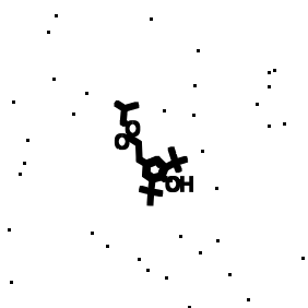 CC(C)COC(=O)CCc1cc(C(C)(C)C)c(O)c(C(C)(C)C)c1